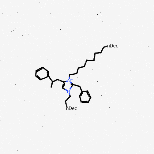 CCCCCCCCCCCCCCCCCCC[n+]1c(CC(C)c2ccccc2)cn(CCCCCCCCCCCC)c1Cc1ccccc1